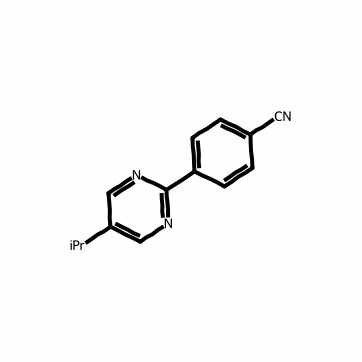 CC(C)c1cnc(-c2ccc(C#N)cc2)nc1